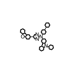 c1ccc(-c2ccc(N(c3ccc4c(c3)c3ccccc3n4-c3ccccc3)c3ncc(-c4ccc5oc6ccccc6c5c4)cn3)cc2)cc1